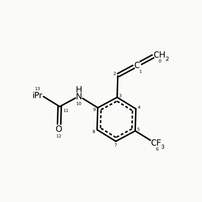 C=C=Cc1cc(C(F)(F)F)ccc1NC(=O)C(C)C